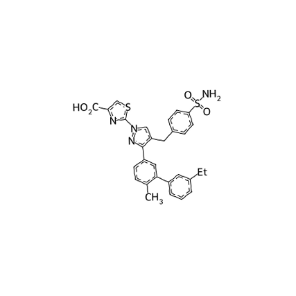 CCc1cccc(-c2cc(-c3nn(-c4nc(C(=O)O)cs4)cc3Cc3ccc(S(N)(=O)=O)cc3)ccc2C)c1